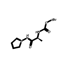 C[C@H](NC(=O)OC(C)(C)C)C(=O)NN1CCCC1